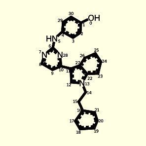 Oc1ccc(Nc2nccc(-c3cn(CCc4ccccc4)c4ccccc34)n2)cc1